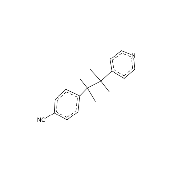 CC(C)(c1ccncc1)C(C)(C)c1ccc(C#N)cc1